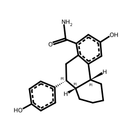 NC(=O)c1cc(O)cc2c1C[C@@H](c1ccc(O)cc1)[C@H]1CCCC[C@@H]21